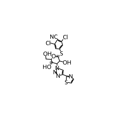 N#Cc1c(Cl)cc(S[C@H]2OC(CO)[C@H](O)C(n3cc(-c4nccs4)nn3)C2O)cc1Cl